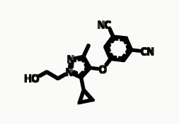 Cc1nn(CCO)c(C2CC2)c1Oc1cc(C#N)cc(C#N)c1